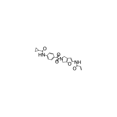 C=CC(=O)Nc1cc2c(o1)CN(S(=O)(=O)c1ccc(NC(=O)C3CC3)cc1)C2